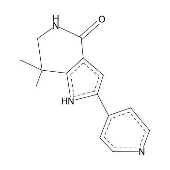 CC1(C)CNC(=O)c2cc(-c3ccncc3)[nH]c21